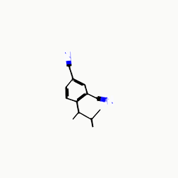 CC(C)C(C)c1ccc(C#N)cc1C#N